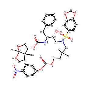 CC(C)(CCOC(=O)Oc1ccc([N+](=O)[O-])cc1)CN(C[C@@H](O)[C@H](Cc1ccccc1)NC(=O)O[C@H]1CO[C@H]2OCC[C@H]21)S(=O)(=O)c1ccc2c(c1)OCO2